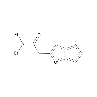 CCN(CC)C(=O)Cc1cc2[nH]ccc2o1